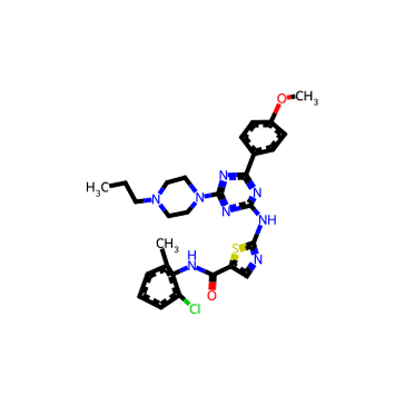 CCCN1CCN(c2nc(Nc3ncc(C(=O)Nc4c(C)cccc4Cl)s3)nc(-c3ccc(OC)cc3)n2)CC1